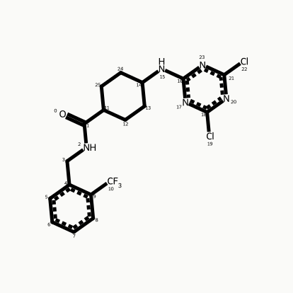 O=C(NCc1ccccc1C(F)(F)F)C1CCC(Nc2nc(Cl)nc(Cl)n2)CC1